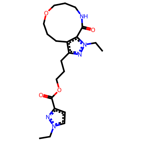 CCn1ccc(C(=O)OCCCc2nn(CC)c3c2CCCOCCCNC3=O)n1